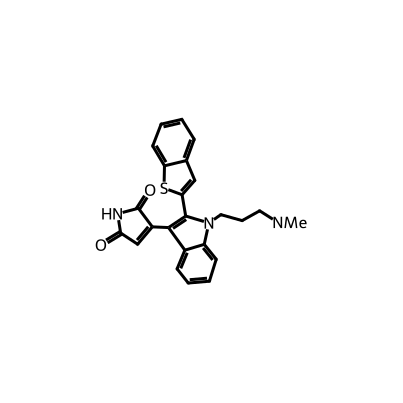 CNCCCn1c(-c2cc3ccccc3s2)c(C2=CC(=O)NC2=O)c2ccccc21